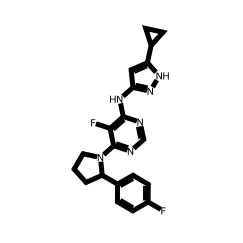 Fc1ccc(C2CCCN2c2ncnc(Nc3cc(C4CC4)[nH]n3)c2F)cc1